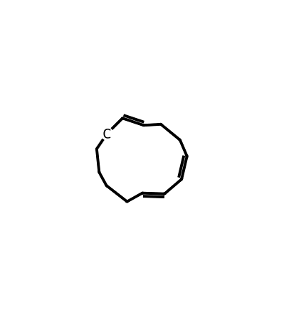 C1=C\CC/C=C/CCCCC/C=C/1